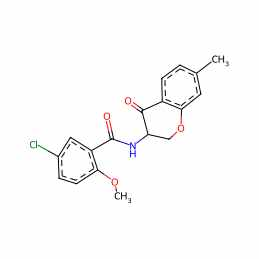 COc1ccc(Cl)cc1C(=O)NC1COc2cc(C)ccc2C1=O